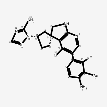 CC(=O)c1c(N)ccc(-c2cnc3c(c2Cl)[C@]2(CC[C@H](n4ncnc4N)C2)CN3)c1F